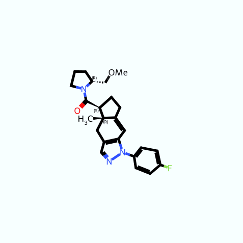 COC[C@H]1CCCN1C(=O)[C@H]1CCC2=Cc3c(cnn3-c3ccc(F)cc3)C[C@@]21C